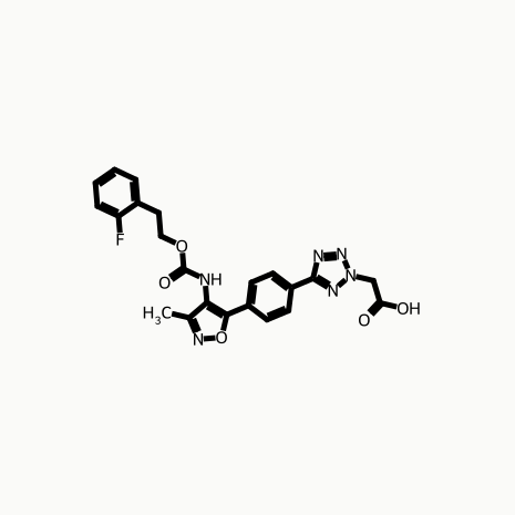 Cc1noc(-c2ccc(-c3nnn(CC(=O)O)n3)cc2)c1NC(=O)OCCc1ccccc1F